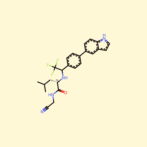 CC(C)C[C@H](NC(c1ccc(-c2ccc3[nH]ccc3c2)cc1)C(F)(F)F)C(=O)NCC#N